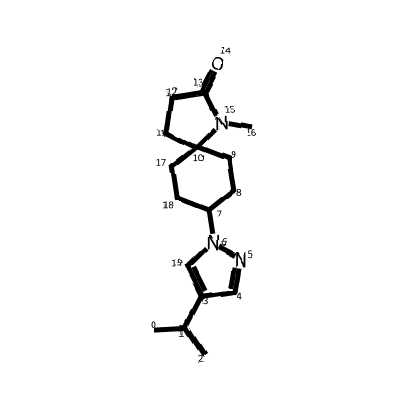 CC(C)c1cnn(C2CCC3(CCC(=O)N3C)CC2)c1